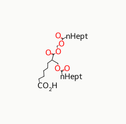 CCCCCCCC(=O)OCOC(=O)C(CCCCCC(=O)O)COC(=O)CCCCCCC